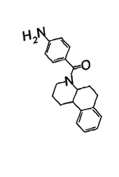 Nc1ccc(C(=O)N2CCCC3c4ccccc4CCC32)cc1